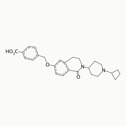 O=C(O)c1ccc(COc2ccc3c(c2)CCN(C2CCN(C4CCC4)CC2)C3=O)cc1